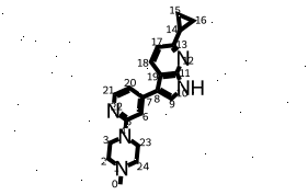 CN1CCN(c2cc(-c3c[nH]c4nc(C5CC5)ccc34)ccn2)CC1